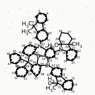 CC1(C)c2ccccc2-c2ccc(N3c4cc(N5c6ccccc6C6(C)CCCCC56C)cc5c4B4c6c3cccc6C(c3ccccc3)(c3ccccc3)c3cccc(c34)N5c3ccc4c(c3)C(C)(C)c3ccccc3-4)cc21